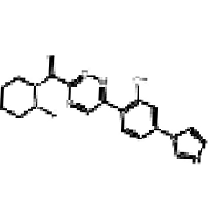 C=C(c1ncc(-c2ccc(-n3ccnc3)cc2O)nn1)[C@@H]1CCCC[C@@H]1F